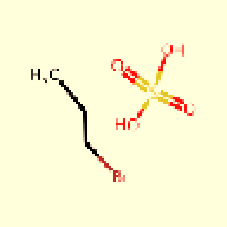 CCCBr.O=S(=O)(O)O